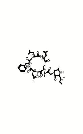 CC[C@@H](C)C1NC(=O)CN(CC(=O)N[C@H]2CSC(=O)[C@H](CC(C)C)NC(=O)[C@H](CC(C)C)NC(=O)[C@H](Cc3ccccc3)NC(=O)[C@H](CC(=O)O)NC2=O)C1=O